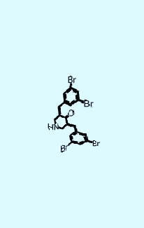 O=C1C(=Cc2cc(Br)cc(Br)c2)CNCC1=Cc1cc(Br)cc(Br)c1